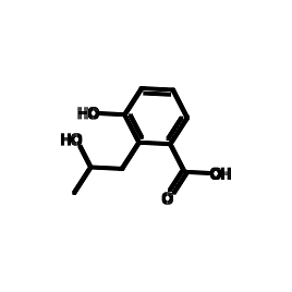 CC(O)Cc1c(O)cccc1C(=O)O